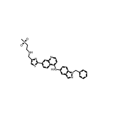 CS(=O)(=O)CCNCc1csc(-c2ccc3c([AsH]c4ccc5c(cnn5Cc5ccccc5)c4)ccnc3c2)n1